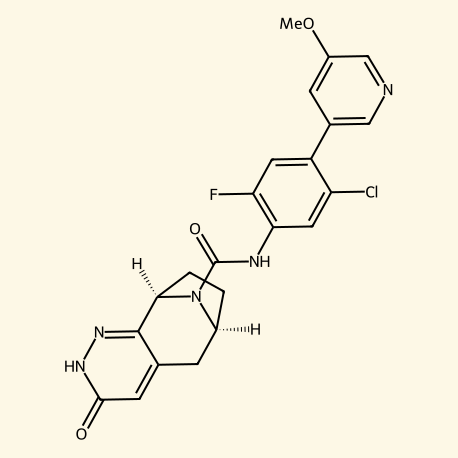 COc1cncc(-c2cc(F)c(NC(=O)N3[C@H]4CC[C@@H]3c3n[nH]c(=O)cc3C4)cc2Cl)c1